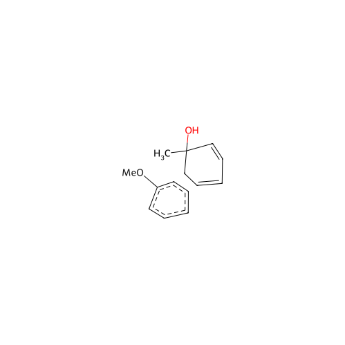 CC1(O)C=CC=CC1.COc1ccccc1